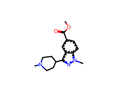 COC(=O)c1ccc2c(c1)c(C1CCN(C)CC1)nn2C